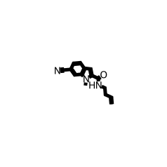 C=CCCNC(=O)c1cc2ccc(C#N)cc2n1C